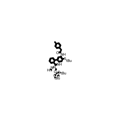 Cc1ccc(CC(=O)Nc2cc(-c3ccccc3C(=N)N(COP(=O)(OC(C)(C)C)OC(C)(C)C)N=N)ccc2SC(C)(C)C)cc1